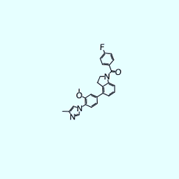 COc1cc(-c2cccc3c2CCN3C(=O)c2ccc(F)cc2)ccc1-n1cnc(C)c1